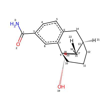 NC(=O)c1ccc2c(c1)[C@]13CCC[C@H](C2)[C@@H]1CC[C@H](O)C3